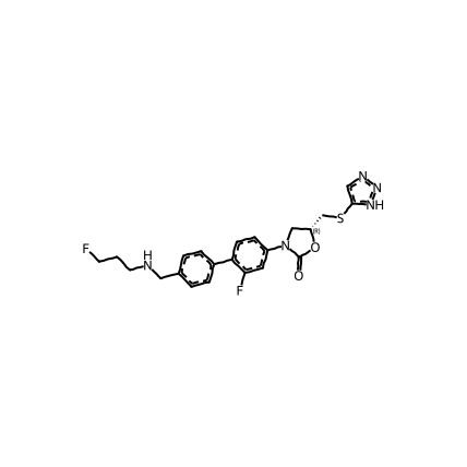 O=C1O[C@@H](CSc2cnn[nH]2)CN1c1ccc(-c2ccc(CNCCCF)cc2)c(F)c1